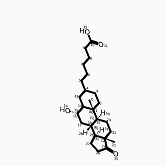 C[C@]12CCC(CCCCCC(=O)O)CC1[C@@H](O)C[C@@H]1[C@@H]2CC[C@]2(C)C(=O)CC[C@@H]12